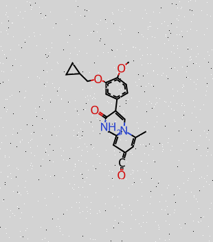 COc1ccc(/C(=C/N2C(C)=CC(=C=O)C=C2C)C(N)=O)cc1OCC1CC1